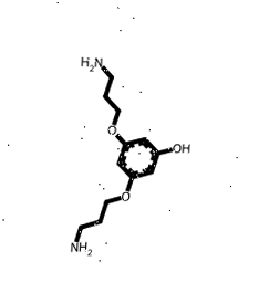 NCCCOc1cc(O)cc(OCCCN)c1